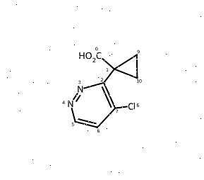 O=C(O)C1(c2nnccc2Cl)CC1